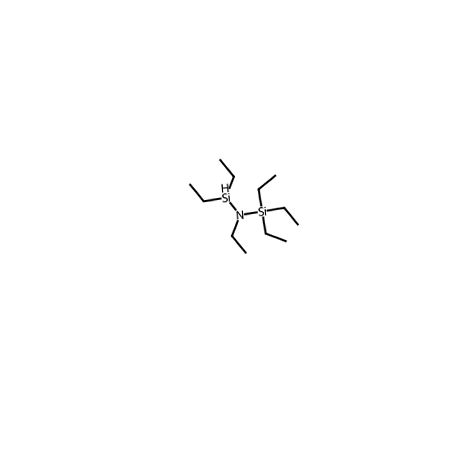 CCN([SiH](CC)CC)[Si](CC)(CC)CC